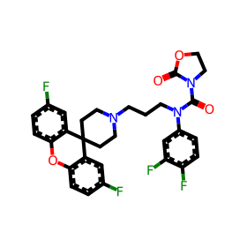 O=C1OCCN1C(=O)N(CCCN1CCC2(CC1)c1cc(F)ccc1Oc1ccc(F)cc12)c1ccc(F)c(F)c1